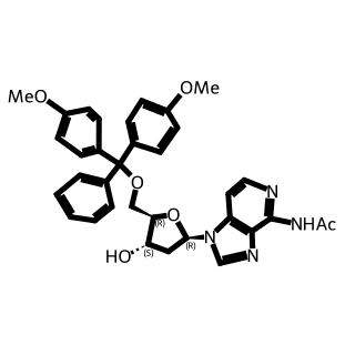 COc1ccc(C(OC[C@H]2O[C@@H](n3cnc4c(NC(C)=O)nccc43)C[C@@H]2O)(c2ccccc2)c2ccc(OC)cc2)cc1